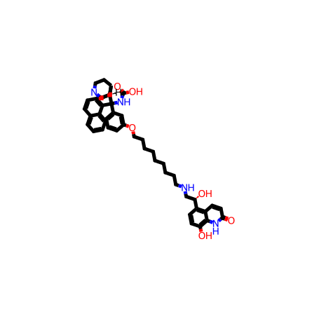 O=C(O)NC(c1cccc(OCCCCCCCCCNC[C@H](O)c2ccc(O)c3[nH]c(=O)ccc23)c1)(c1cccc2ccccc12)[C@H]1CN2CCC1CC2